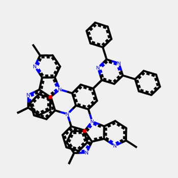 Cc1ccc2c(n1)c1nc(C)ccc1n2-c1cc(-c2cc(-c3ccccc3)nc(-c3ccccc3)n2)cc(-n2c3ccc(C)nc3c3nc(C)ccc32)c1N(c1ccccc1)c1ccccc1